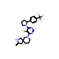 C=C1CC2(CCCN(c3ncnc(N4CCCC4c4ccc(C(F)(F)F)cc4)c3F)C2)CN1